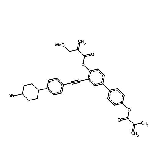 C=C(C)C(=O)Oc1ccc(-c2ccc(OC(=O)C(=C)COC)c(C#Cc3ccc(C4CCC(CCC)CC4)cc3)c2)cc1